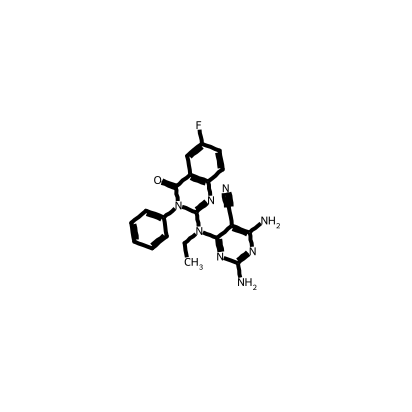 CCN(c1nc(N)nc(N)c1C#N)c1nc2ccc(F)cc2c(=O)n1-c1ccccc1